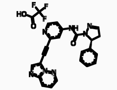 O=C(Nc1ccnc(C#Cc2cnc3cccnn23)c1)N1N=CC[C@H]1c1ccccc1.O=C(O)C(F)(F)F